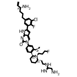 C=C[C@H](N)CCCc1cc(Cl)c(F)c(-c2cc3cn(-c4ccc([C@@H]5CCC[C@@H](CCNC(=N)CN)N5CCCF)c(SC)c4)c(=O)nc3[nH]2)c1